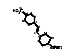 CCCCC[C@H]1CC[C@H](C=CC2CCC(C(=O)O)CC2)CC1